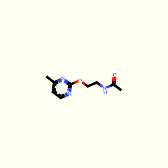 CC(=O)NCCOc1nc[c]c(C)n1